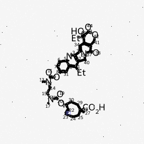 CCc1c2c(nc3ccc(OC(=O)N(C)CCN(C)C(=O)O[C@H]4/C=C/CC[C@@](C)(C(=O)O)CC4)cc13)-c1cc3c(c(=O)n1C2)COC(=O)[C@]3(O)CC